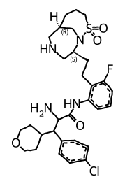 NC(C(=O)Nc1cccc(F)c1CC[C@H]1CNC[C@H]2CCCS(=O)(=O)N1C2)C(c1ccc(Cl)cc1)C1CCOCC1